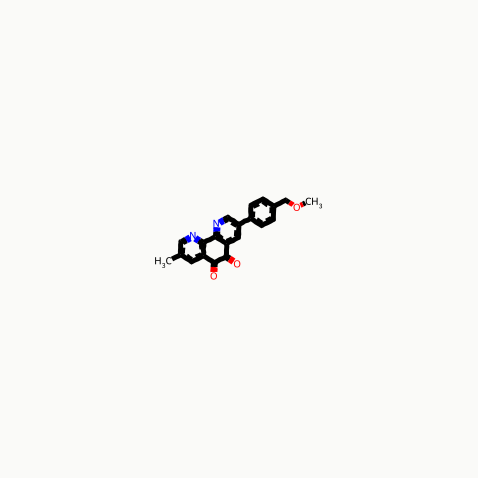 COCc1ccc(-c2cnc3c(c2)C(=O)C(=O)c2cc(C)cnc2-3)cc1